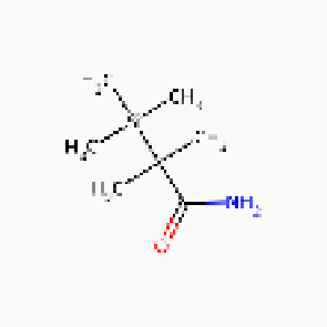 CC(C)(C(N)=O)[Si](C)(C)C